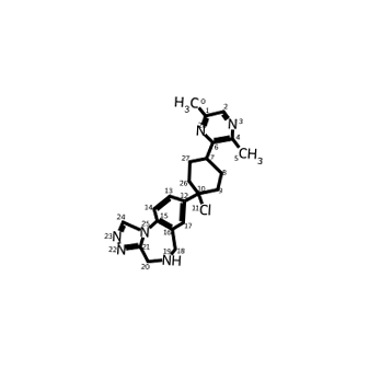 Cc1cnc(C)c(C2CCC(Cl)(c3ccc4c(c3)CNCc3nncn3-4)CC2)n1